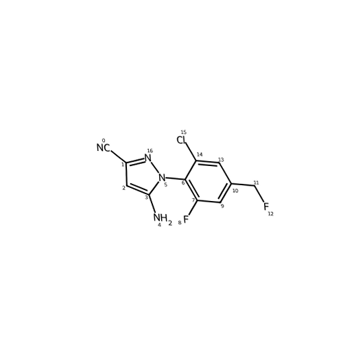 N#Cc1cc(N)n(-c2c(F)cc(CF)cc2Cl)n1